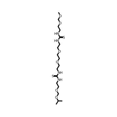 COCOCCNC(=S)NCCOCCOCCNC(=S)NCCOCOC(C)C